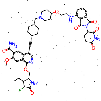 CC[C@@H]1[C@H](F)C(=O)N[C@@H]1COc1ncc(C#C[C@H]2CC[C@H](CN3CCC(OCCNc4cccc5c4C(=O)N(C4CCC(=O)NC4=O)C5=O)CC3)CC2)c2cc(C(N)=O)c(OC)cc12